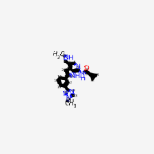 CNCc1cnc(NC(=O)C2CC2)c2[nH]c(-c3cccc(-c4ncn(C)n4)c3)cc12